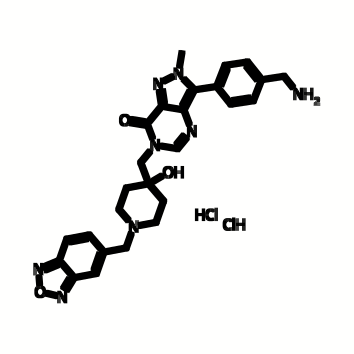 Cl.Cl.Cn1nc2c(=O)n(CC3(O)CCN(Cc4ccc5nonc5c4)CC3)cnc2c1-c1ccc(CN)cc1